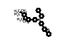 CC(C)(C)c1ccc2c(c1)C(C)(C)c1ccc(-c3ccc(N(c4ccc(-c5ccc6c(c5)sc5ccccc56)cc4)c4cccc(-c5ccccc5)c4)cc3)cc1-2